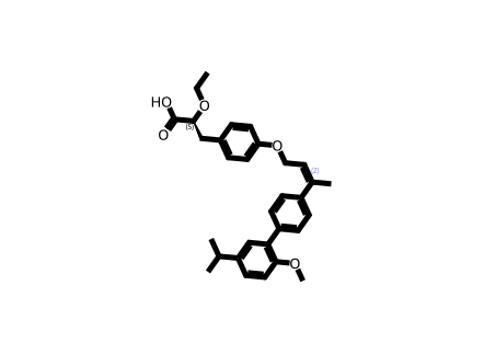 CCO[C@@H](Cc1ccc(OC/C=C(/C)c2ccc(-c3cc(C(C)C)ccc3OC)cc2)cc1)C(=O)O